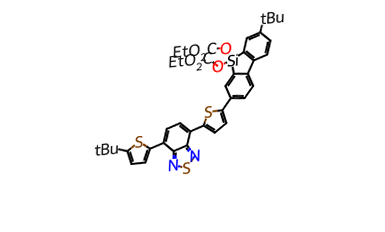 CCOC(=O)O[Si]1(OC(=O)OCC)c2cc(-c3ccc(-c4ccc(-c5ccc(C(C)(C)C)s5)c5nsnc45)s3)ccc2-c2ccc(C(C)(C)C)cc21